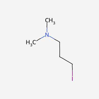 CN(C)CCCI